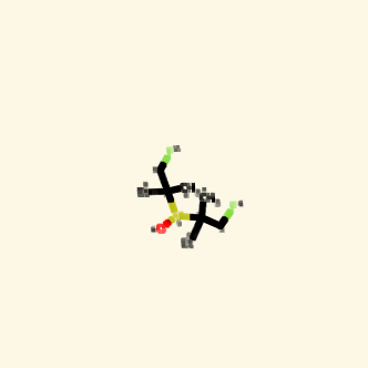 CCC(C)(CF)[S+]([O-])C(C)(CC)CF